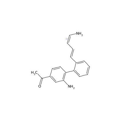 CC(=O)c1ccc(-c2ccccc2C=C/C=C\N)c(N)c1